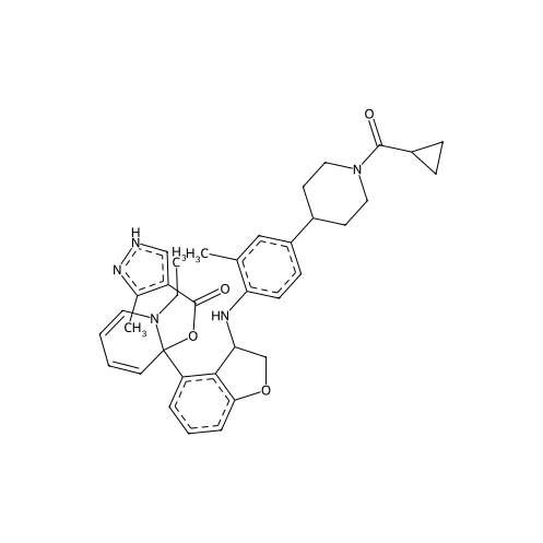 CCN1C=CC=CC1(OC(=O)c1c[nH]nc1C)c1cccc2c1C(Nc1ccc(C3CCN(C(=O)C4CC4)CC3)cc1C)CO2